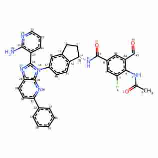 CC(=O)Nc1c(F)cc(C(=O)N[C@H]2CCc3cc(-n4c(-c5cccnc5N)nc5ccc(-c6ccccc6)nc54)ccc32)cc1C=O